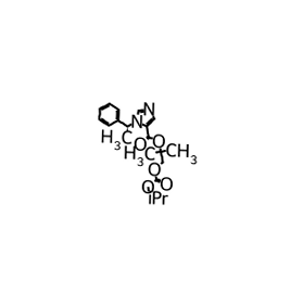 CC(C)OC(=O)OCC(C)(C)OC(=O)c1cncn1[C@H](C)c1ccccc1